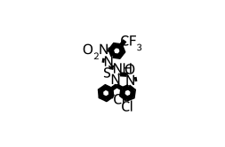 CN1C(=O)C(NC(=S)N(C)c2ccc(C(F)(F)F)cc2[N+](=O)[O-])N=C(c2ccccc2Cl)c2cc(Cl)ccc21